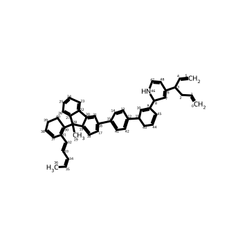 C=CCC(C=C)C1=CC(C2=CC(c3ccc(-c4ccc5c(c4)-c4ccccc4C5(C)C4=C(/C=C/C=C\C)C=CCC4)cc3)CC=C2)NC=C1